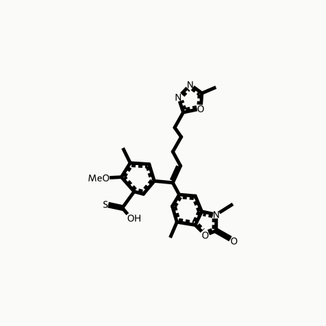 COc1c(C)cc(C(=CCCCc2nnc(C)o2)c2cc(C)c3oc(=O)n(C)c3c2)cc1C(O)=S